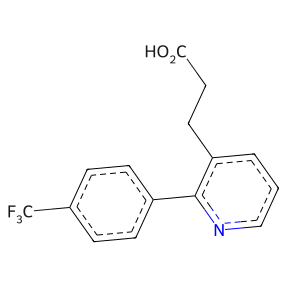 O=C(O)CCc1cccnc1-c1ccc(C(F)(F)F)cc1